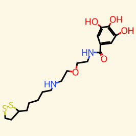 O=C(NCCOCCNCCCCCC1CCSS1)c1cc(O)c(O)c(O)c1